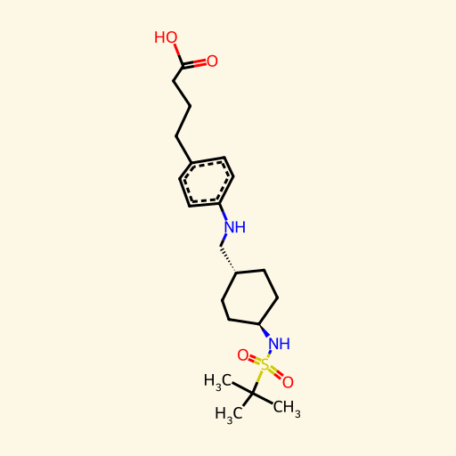 CC(C)(C)S(=O)(=O)N[C@H]1CC[C@H](CNc2ccc(CCCC(=O)O)cc2)CC1